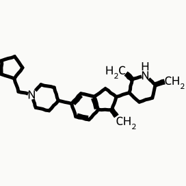 C=C1CCC(C2Cc3cc(C4CCN(CC5CCCC5)CC4)ccc3C2=C)C(=C)N1